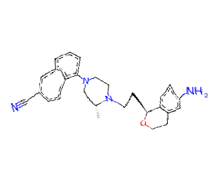 C[C@@H]1CN(c2cccc3cc(C#N)ccc23)CCN1CC[C@@H]1OCCc2cc(N)ccc21